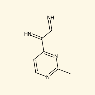 Cc1nccc(C(=N)C=N)n1